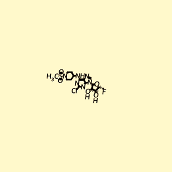 CS(=O)(=O)N1CCC(Nc2nc(Cl)nc3c2ncn3[C@@H]2O[C@H](CF)[C@@H](O)[C@H]2O)CC1